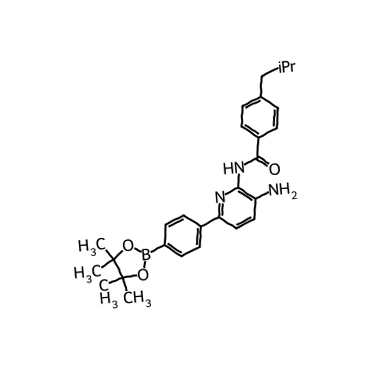 CC(C)Cc1ccc(C(=O)Nc2nc(-c3ccc(B4OC(C)(C)C(C)(C)O4)cc3)ccc2N)cc1